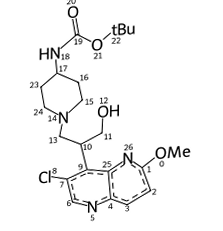 COc1ccc2ncc(Cl)c(C(CO)CN3CCC(NC(=O)OC(C)(C)C)CC3)c2n1